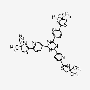 CC1(C)CSC(c2ccc(-c3nc(-c4ccc(C5=NC(C)(C)CS5)nc4)nc(-c4ccc(C5=NC(C)(C)CS5)nc4)n3)cn2)=N1